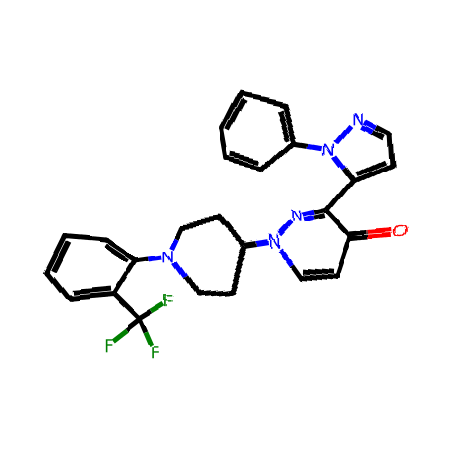 O=c1ccn(C2CCN(c3ccccc3C(F)(F)F)CC2)nc1-c1ccnn1-c1ccccc1